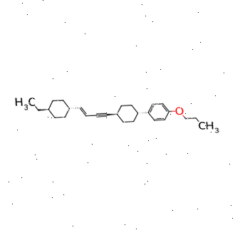 CCCOc1ccc([C@H]2CC[C@H](C#CC=C[C@H]3CC[C@H](CC)CC3)CC2)cc1